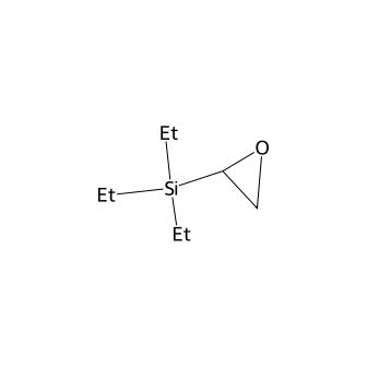 CC[Si](CC)(CC)C1CO1